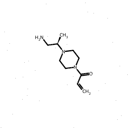 C=CC(=O)N1CCN([C@H](C)CN)CC1